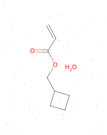 C=CC(=O)OCC1CCC1.O